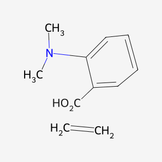 C=C.CN(C)c1ccccc1C(=O)O